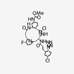 COC(=O)Nc1ccc2c(c1)NC(=O)CCc1nc(ccc1F)CC(NC(=O)/C=C/c1cc(Cl)ccc1-n1cnnn1)c1nc-2c(Cl)[nH]1